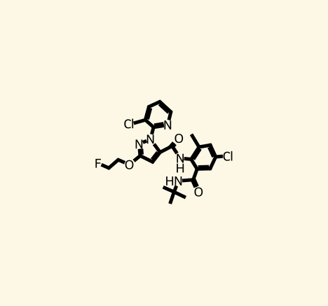 Cc1cc(Cl)cc(C(=O)NC(C)(C)C)c1NC(=O)c1cc(OCCF)nn1-c1ncccc1Cl